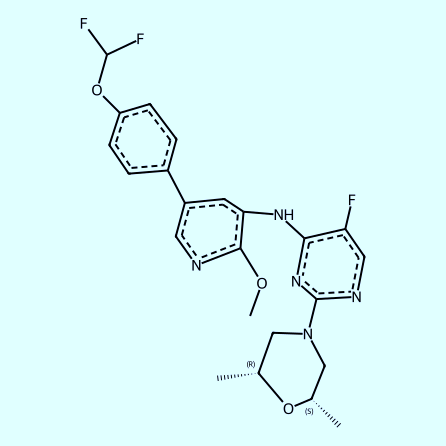 COc1ncc(-c2ccc(OC(F)F)cc2)cc1Nc1nc(N2C[C@@H](C)O[C@@H](C)C2)ncc1F